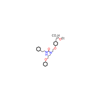 CCOC(Cc1ccc(OCCN(CCCOc2ccccc2)C(=O)NCCc2ccccc2)cc1)C(=O)O